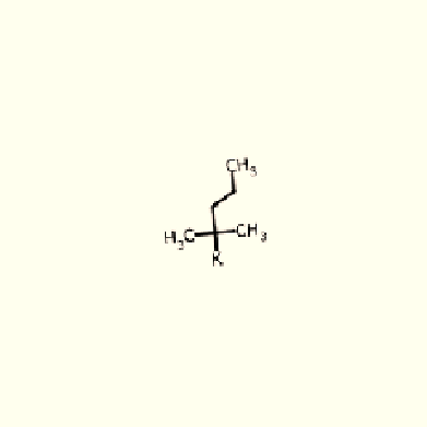 CCC[C](C)(C)[K]